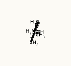 CC(=O)O.CCCCCCCCCC(N)CCCCCCCC